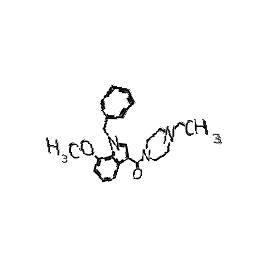 CCN1CCN(C(=O)c2cn(Cc3ccccc3)c3c(OC)cccc23)CC1